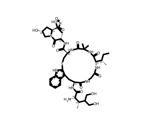 CC[C@H](C)[C@@H]1NC(=O)CNC(=O)[C@@H](NC(=O)[C@@H](N)[C@@H](C)C(CO)CO)Cc2c([nH]c3ccccc23)SC[C@@H](C(=O)N[C@@H](CCN=O)C(=O)N2C[C@H](O)C[C@H]2C(=O)O)NC(=O)C(C)(C)NC1=O